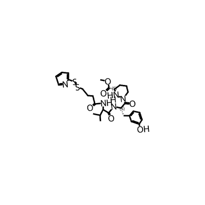 COC(=O)[C@@H]1CCCN(C(=O)[C@H](Cc2cccc(O)c2)NC(=O)C(NC(=O)CCCSSc2ccccn2)C(C)C)N1